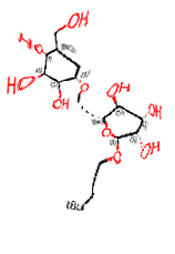 CC(C)(C)CCO[C@H]1O[C@H](CO[C@H]2C[C@H](CO)[C@@H](O)[C@H](O)[C@@H]2O)[C@@H](O)[C@H](O)[C@@H]1O